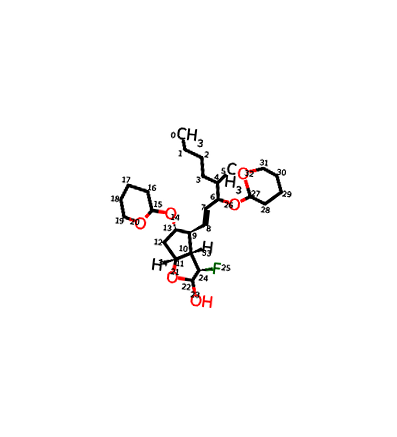 CCCCC(C)C(/C=C/[C@H]1[C@H]2[C@@H](C[C@@H]1OC1CCCCO1)OC(O)[C@@H]2F)OC1CCCCO1